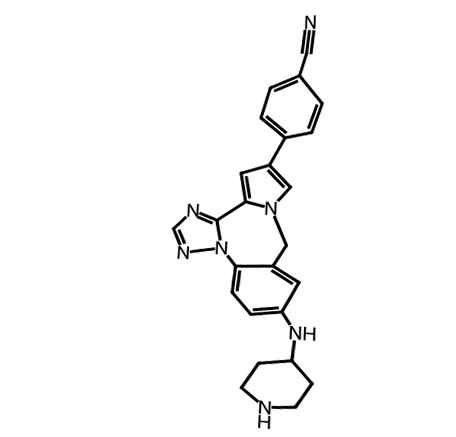 N#Cc1ccc(-c2cc3n(c2)Cc2cc(NC4CCNCC4)ccc2-n2ncnc2-3)cc1